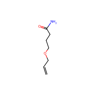 C=CCOCCCC(N)=O